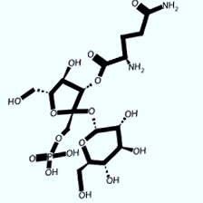 NC(=O)CC[C@H](N)C(=O)O[C@H]1[C@H](O)[C@@H](CO)O[C@@]1(COP(=O)(O)O)O[C@H]1O[C@H](CO)[C@@H](O)[C@H](O)[C@H]1O